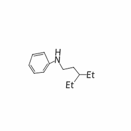 CCC(CC)CCNc1ccccc1